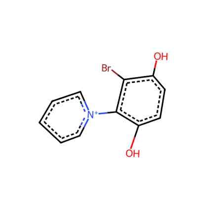 Oc1ccc(O)c(-[n+]2ccccc2)c1Br